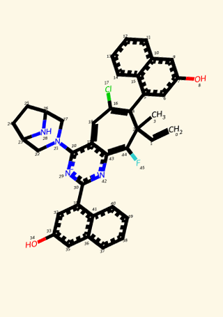 C=CC1(C)C(c2cc(O)cc3ccccc23)=C(Cl)C=c2c(N3CC4CCC(C3)N4)nc(-c3cc(O)cc4ccccc34)nc2=C1F